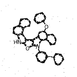 c1ccc(Oc2cc3c4c5c([nH]c6ccc7ccccc7c65)oc4n(-c4cccc(-c5ccccc5)c4)c3c3ccccc23)cc1